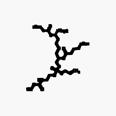 C=CCOP(=O)(OCCNC(=O)OC(C)(C)C)OCC(COCC[C@H](CCCCCCC)OC(=O)CCCCCCCCCCC)OC(=O)CCCCCCCCCCCCC